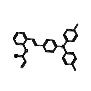 C=CC(=O)Oc1ccccc1C=Cc1ccc(N(c2ccc(C)cc2)c2ccc(C)cc2)cc1